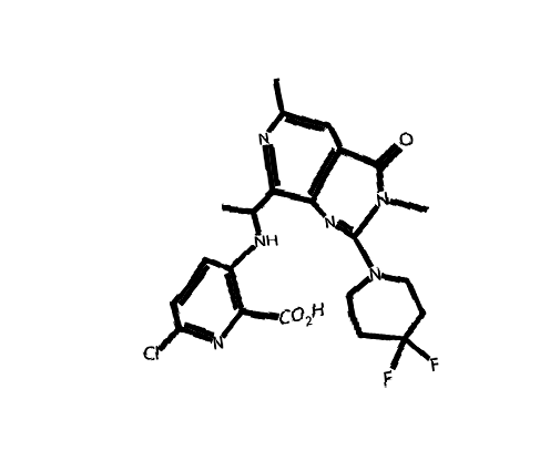 Cc1cc2c(=O)n(C)c(N3CCC(F)(F)CC3)nc2c(C(C)Nc2ccc(Cl)nc2C(=O)O)n1